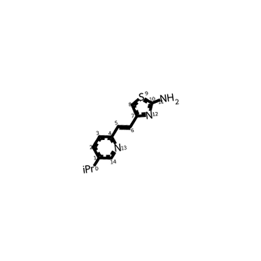 CC(C)c1ccc(/C=C/c2csc(N)n2)nc1